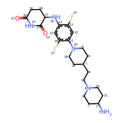 NC1CCN(CCC2CCN(c3cc(F)c(NC4CCC(=O)NC4=O)cc3F)CC2)CC1